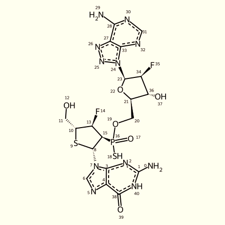 Nc1nc2c(ncn2[C@@H]2S[C@H](CO)[C@@H](F)[C@H]2P(=O)(S)OC[C@H]2O[C@@H](n3nnc4c(N)ncnc43)[C@@H](F)[C@@H]2O)c(=O)[nH]1